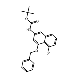 CC(C)(C)OC(=O)Nc1cc(OCc2ccccc2)c2c(Br)cccc2c1